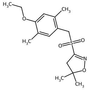 CCOc1cc(C)c(CS(=O)(=O)C2=NOC(C)(C)C2)cc1C